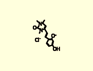 COc1cc(O)ccc1C=Cc1cc(C)[n+](C)c(=O)n1C.[Cl-]